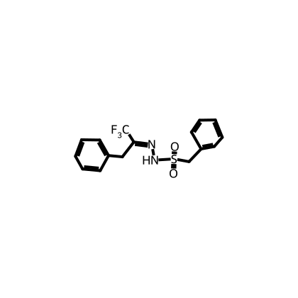 O=S(=O)(Cc1ccccc1)NN=C(Cc1ccccc1)C(F)(F)F